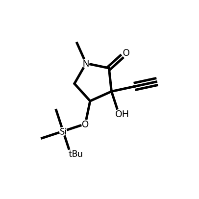 C#CC1(O)C(=O)N(C)CC1O[Si](C)(C)C(C)(C)C